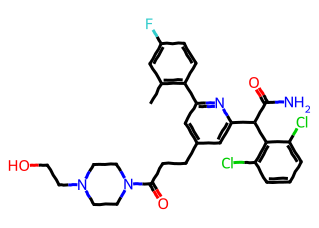 Cc1cc(F)ccc1-c1cc(CCC(=O)N2CCN(CCO)CC2)cc(C(C(N)=O)c2c(Cl)cccc2Cl)n1